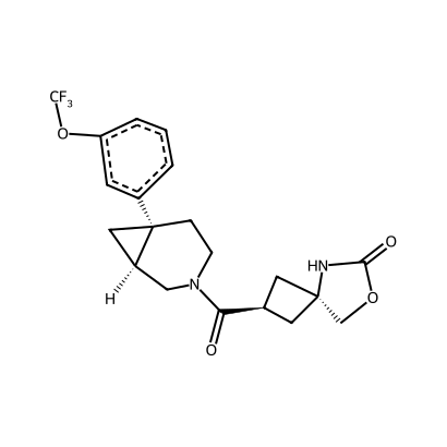 O=C1N[C@]2(CO1)C[C@H](C(=O)N1CC[C@]3(c4cccc(OC(F)(F)F)c4)C[C@@H]3C1)C2